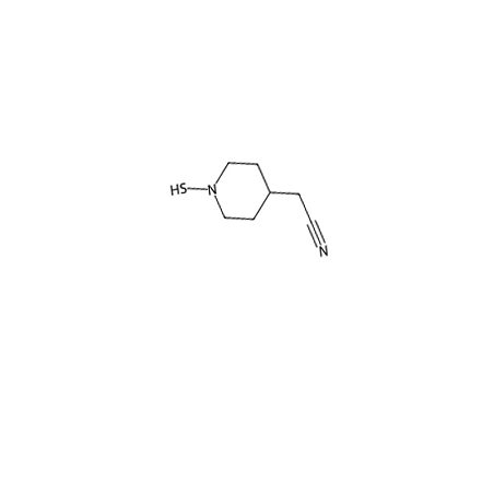 N#CCC1CCN(S)CC1